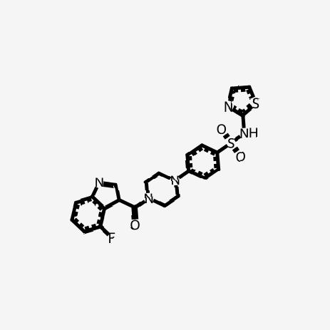 O=C(C1C=Nc2cccc(F)c21)N1CCN(c2ccc(S(=O)(=O)Nc3nccs3)cc2)CC1